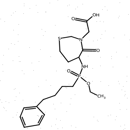 CCOP(=O)(CCCCc1ccccc1)NC1CCSCN(CC(=O)O)C1=O